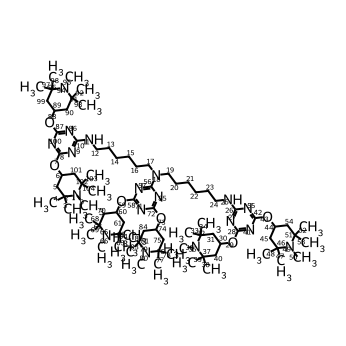 CN1C(C)(C)CC(Oc2nc(NCCCCCCN(CCCCCCNc3nc(OC4CC(C)(C)N(C)C(C)(C)C4)nc(OC4CC(C)(C)N(C)C(C)(C)C4)n3)c3nc(OC4CC(C)(C)N(C)C(C)(C)C4)nc(OC4CC(C)(C)N(C)C(C)(C)C4)n3)nc(OC3CC(C)(C)N(C)C(C)(C)C3)n2)CC1(C)C